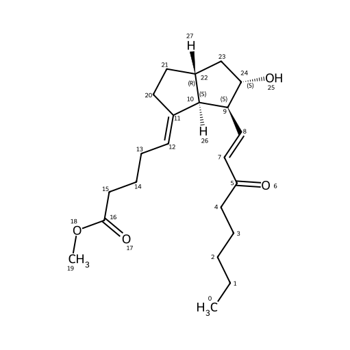 CCCCCC(=O)C=C[C@H]1[C@H]2C(=CCCCC(=O)OC)CC[C@@H]2C[C@@H]1O